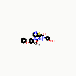 Cc1cc(Oc2ccccc2)ccc1N1C(=O)Nc2c(C(=O)NC3CCC(O)C3)sc3nccc1c23